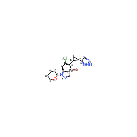 Clc1cc2c(cnn2[C@H]2CCCCO2)c(Br)c1[C@H]1C[C@H]1c1cn[nH]n1